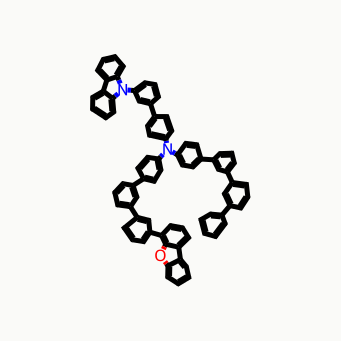 c1ccc(-c2cccc(-c3cccc(-c4ccc(N(c5ccc(-c6cccc(-c7cccc(-c8cccc9c8oc8ccccc89)c7)c6)cc5)c5ccc(-c6cccc(-n7c8ccccc8c8ccccc87)c6)cc5)cc4)c3)c2)cc1